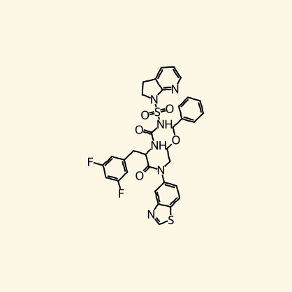 O=C(NC(Cc1cc(F)cc(F)c1)C(=O)N(CCOCc1ccccc1)c1ccc2scnc2c1)NS(=O)(=O)N1CCc2cccnc21